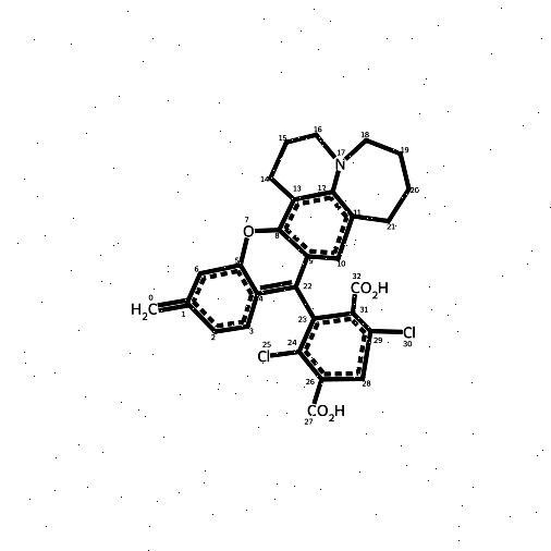 C=c1ccc2c(c1)Oc1c(cc3c4c1CCCN4CCCC3)C=2c1c(Cl)c(C(=O)O)cc(Cl)c1C(=O)O